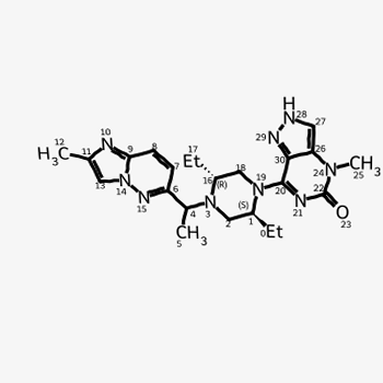 CC[C@H]1CN(C(C)c2ccc3nc(C)cn3n2)[C@H](CC)CN1c1nc(=O)n(C)c2c[nH]nc12